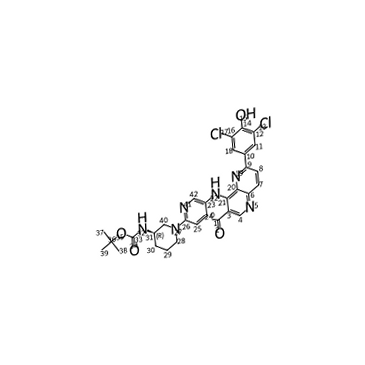 CC(=O)c1cnc2ccc(-c3cc(Cl)c(O)c(Cl)c3)nc2c1Nc1ccc(N2CCC[C@@H](NC(=O)OC(C)(C)C)C2)nc1